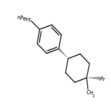 CCCCCc1ccc([C@H]2CC[C@@](C)(CCC)CC2)cc1